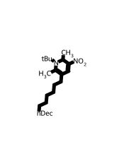 CCCCCCCCCCCCCCCCC1=C(C)N(C(C)(C)C)C(C)C([N+](=O)[O-])=[C]1